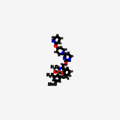 COc1cc(C)c(S(=O)(=O)N(C)C(COc2nccc(N3CCC(Oc4ccccn4)CC3)n2)c2ccccc2)c(C)c1